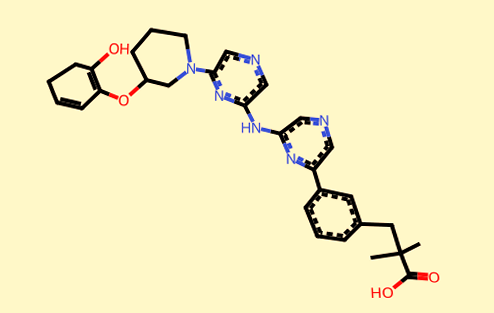 CC(C)(Cc1cccc(-c2cncc(Nc3cncc(N4CCCC(OC5=C(O)CCC=C5)C4)n3)n2)c1)C(=O)O